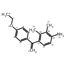 C=C(c1ccc(OCC)cc1)c1ccc(N)c(C)c1C